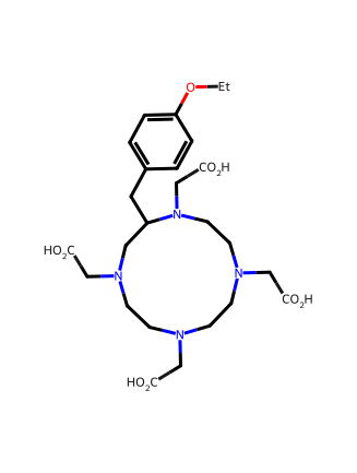 CCOc1ccc(CC2CN(CC(=O)O)CCN(CC(=O)O)CCN(CC(=O)O)CCN2CC(=O)O)cc1